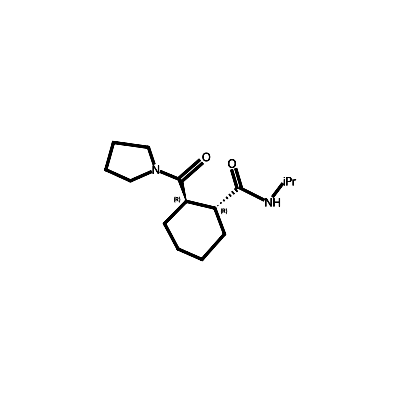 CC(C)NC(=O)[C@@H]1CCCC[C@H]1C(=O)N1CCCC1